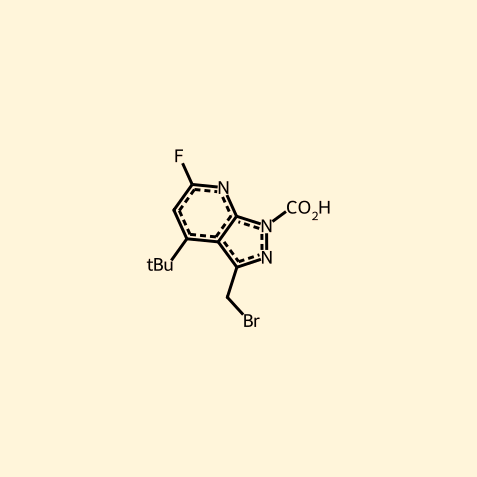 CC(C)(C)c1cc(F)nc2c1c(CBr)nn2C(=O)O